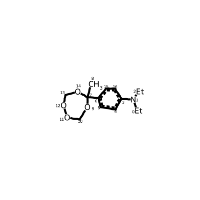 CCN(CC)c1ccc(C2(C)OCOOCO2)cc1